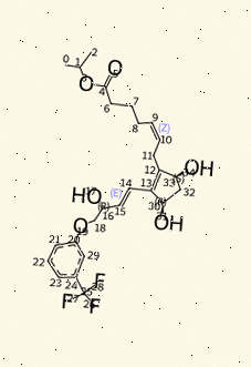 CC(C)OC(=O)CCC/C=C\CC1=C(/C=C/[C@@H](O)COc2cccc(C(F)(F)F)c2)[C@H](O)C[C@@H]1O